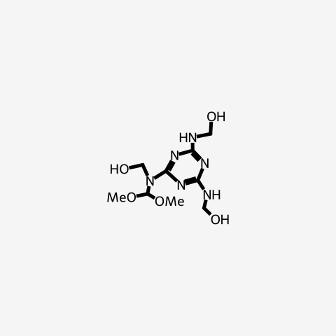 COC(OC)N(CO)c1nc(NCO)nc(NCO)n1